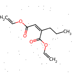 C=COC(=O)/C=C(/CCC)C(=O)OC=C